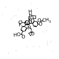 C[C@@H]1Oc2ccc(-c3ccc(Cl)cc3F)c(C34CCC3NCCN4Cc3nc4c(F)cc(C(=O)O)cc4n3C[C@@H]3CCO3)c2O1